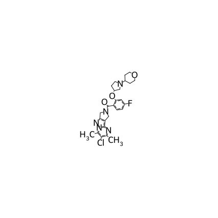 Cc1nc2c3c(nn2c(C)c1Cl)CN(C(=O)c1ccc(F)cc1O[C@@H]1CCN(C2CCOCC2)C1)C3